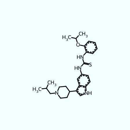 CC(C)CN1CCC(c2c[nH]c3ccc(NC(=S)Nc4ccccc4OC(C)C)cc23)CC1